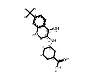 CC(C)(C)c1ccc2c(c1)OC[C@H](N[C@H]1CCCC(C(=O)O)C1)[C@@H]2O